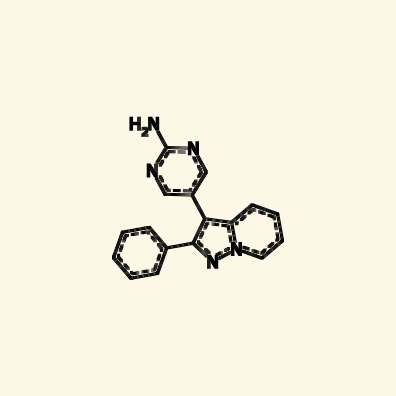 Nc1ncc(-c2c(-c3ccccc3)nn3ccccc23)cn1